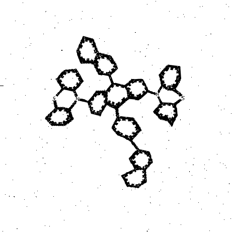 c1ccc2c(c1)Sc1ccccc1N2c1ccc2c(-c3ccc4ccccc4c3)c3cc(N4c5ccccc5Sc5ccccc54)ccc3c(-c3ccc(-c4ccc5ccccc5c4)cc3)c2c1